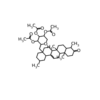 CC(=O)OC1COC(CC23CCC(C)CC2C2=CCC4C(C)(CCC5C(C)C(=O)CCC54C)C2CC3)C(OC(C)=O)C1OC(C)=O